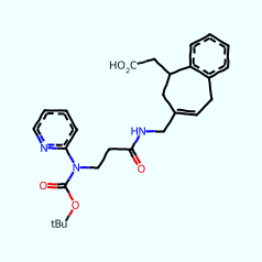 CC(C)(C)OC(=O)N(CCC(=O)NCC1=CCc2ccccc2C(CC(=O)O)C1)c1ccccn1